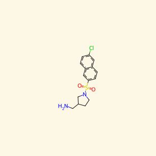 NCC1CCN(S(=O)(=O)c2ccc3cc(Cl)ccc3c2)C1